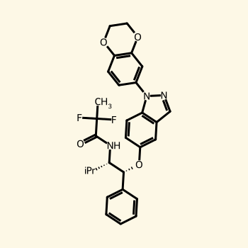 CC(C)[C@H](NC(=O)C(C)(F)F)[C@H](Oc1ccc2c(cnn2-c2ccc3c(c2)OCCO3)c1)c1ccccc1